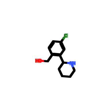 OCc1ccc(Cl)cc1C1CCCCN1